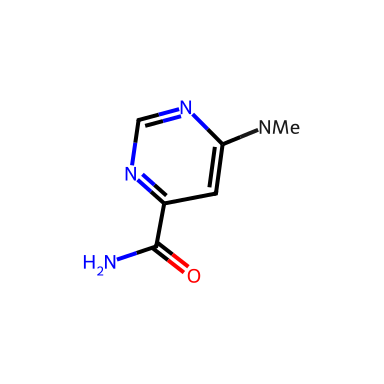 CNc1cc(C(N)=O)ncn1